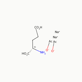 CC(=O)[O-].CC(=O)[O-].N[C@@H](CCC(=O)O)C(=O)O.[Na+].[Na+]